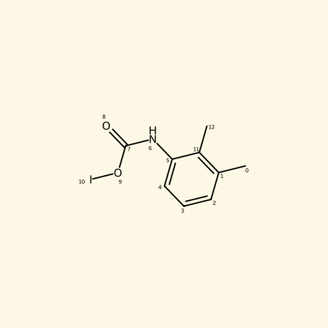 Cc1cccc(NC(=O)OI)c1C